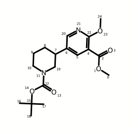 COC(=O)c1cc(C2CCCN(C(=O)OC(C)(C)C)C2)cnc1OC